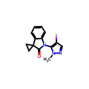 Cn1ncc(I)c1N1C(=O)C2(CC2)c2ccccc21